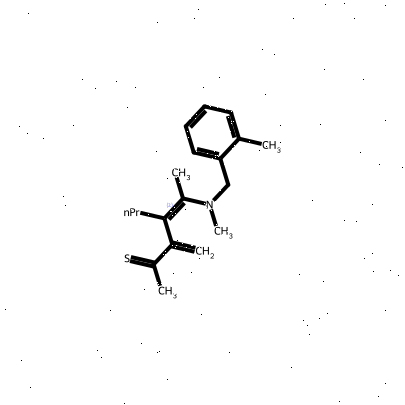 C=C(C(C)=S)/C(CCC)=C(/C)N(C)Cc1ccccc1C